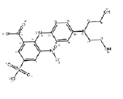 O=[N+]([O-])c1cc(S(=O)(=O)O)cc([N+](=O)[O-])c1Nc1ccc(N(CCO)CCO)cc1